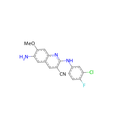 COc1cc2nc(Nc3ccc(F)c(Cl)c3)c(C#N)cc2cc1N